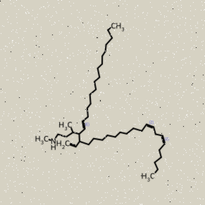 C=CC(CCCCCCCCC/C=C\C/C=C\CCCCC)C(/C=C/CCCCCCCCCCCCCCC)C(C)CCNC